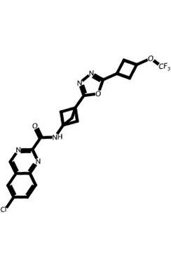 O=C(NC12CC(c3nnc(C4CC(OC(F)(F)F)C4)o3)(C1)C2)c1ncc2cc(Cl)ccc2n1